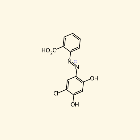 O=C(O)c1ccccc1/N=N/c1cc(Cl)c(O)cc1O